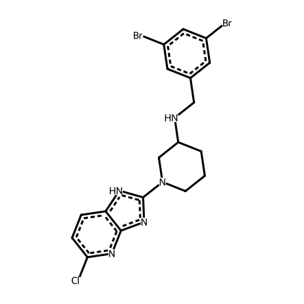 Clc1ccc2[nH]c(N3CCCC(NCc4cc(Br)cc(Br)c4)C3)nc2n1